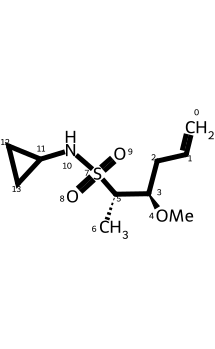 C=CC[C@@H](OC)[C@H](C)S(=O)(=O)NC1CC1